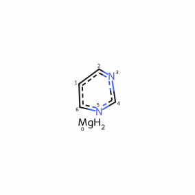 [MgH2].c1cncnc1